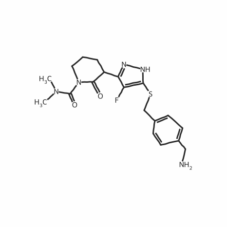 CN(C)C(=O)N1CCCC(c2n[nH]c(SCc3ccc(CN)cc3)c2F)C1=O